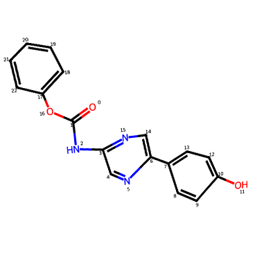 O=C(Nc1cnc(-c2ccc(O)cc2)cn1)Oc1ccccc1